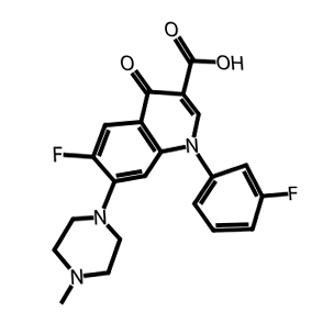 CN1CCN(c2cc3c(cc2F)c(=O)c(C(=O)O)cn3-c2cccc(F)c2)CC1